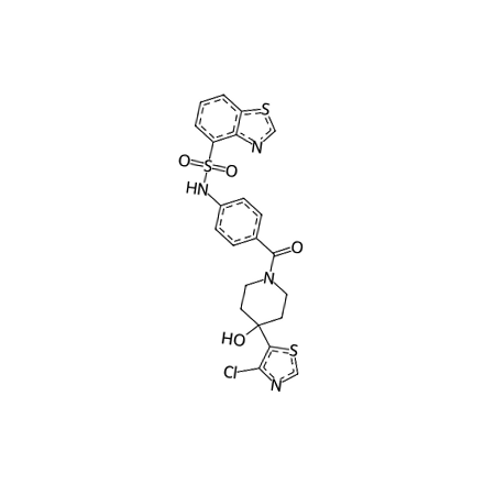 O=C(c1ccc(NS(=O)(=O)c2cccc3scnc23)cc1)N1CCC(O)(c2scnc2Cl)CC1